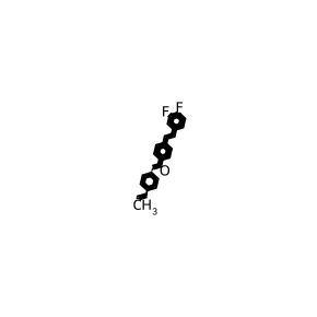 CCC[C@H]1CC[C@H](CC(=O)c2ccc(CCc3ccc(F)c(F)c3)cc2)CC1